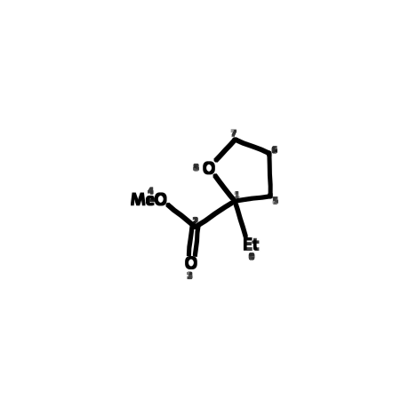 CCC1(C(=O)OC)CCCO1